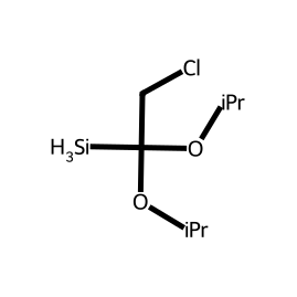 CC(C)OC([SiH3])(CCl)OC(C)C